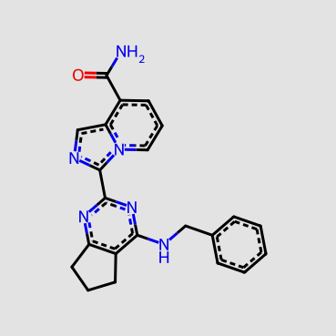 NC(=O)c1cccn2c(-c3nc4c(c(NCc5ccccc5)n3)CCC4)ncc12